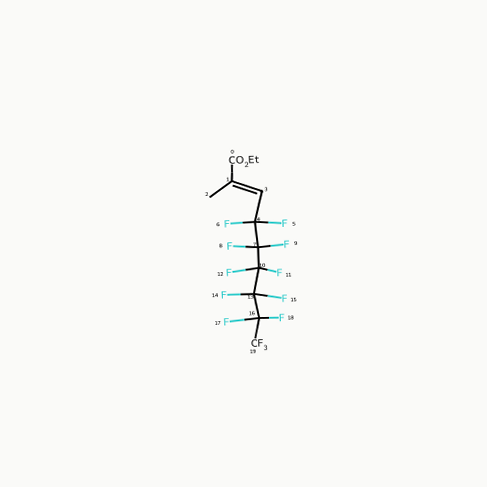 CCOC(=O)C(C)=CC(F)(F)C(F)(F)C(F)(F)C(F)(F)C(F)(F)C(F)(F)F